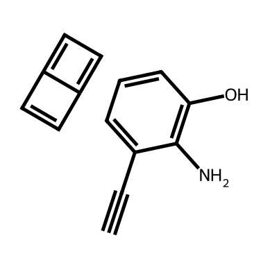 C#Cc1cccc(O)c1N.c1cc2ccc1-2